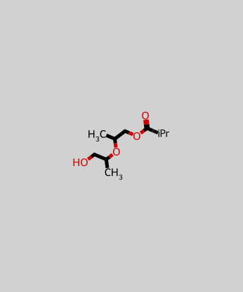 CC(CO)OC(C)COC(=O)C(C)C